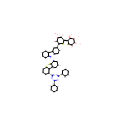 Oc1c(O)c(O)c2c(sc3c(-c4ccc5c(c4)c4ccccc4n5-c4cccc5c4sc4cccc(-c6nc(-c7ccccc7)nc(-c7ccccc7)n6)c45)c(O)c(O)c(O)c32)c1O